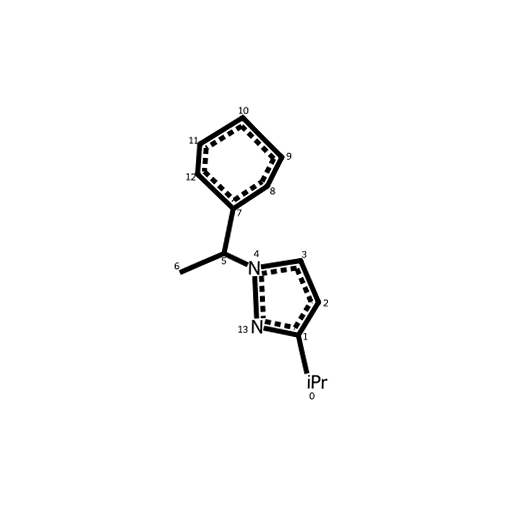 CC(C)c1ccn(C(C)c2ccccc2)n1